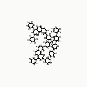 c1ccc(-c2ccc3c(c2)C(c2ccc(-c4ccc5ccc6c(-c7ccccc7)cc(-c7ccccc7)nc6c5n4)cc2)(c2ccc(-c4ccc5ccc6c(-c7ccccc7)cc(-c7ccccc7)nc6c5n4)cc2)c2cc(-c4ccccc4)ccc2-3)cc1